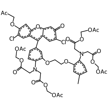 CC(=O)COc1cc2oc3cc(=O)c(Cl)cc-3c(-c3ccc(N(CC(=O)OCOC(C)=O)CC(=O)OCOC(C)=O)c(OCCOc4cc(C)ccc4N(CC(=O)OCOC(C)=O)CC(=O)OCOC(C)=O)c3)c2cc1Cl